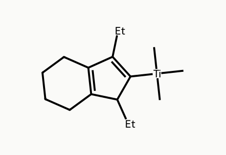 CCC1=[C]([Ti]([CH3])([CH3])[CH3])C(CC)C2=C1CCCC2